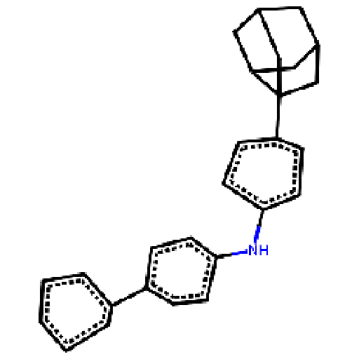 c1ccc(-c2ccc(Nc3ccc(C45CC6CC(CC4C6)C5)cc3)cc2)cc1